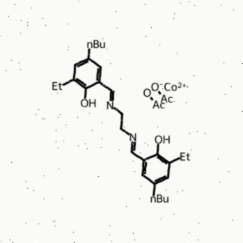 CC(=O)[O-].CC(=O)[O-].CCCCc1cc(C=NCCN=Cc2cc(CCCC)cc(CC)c2O)c(O)c(CC)c1.[Co+2]